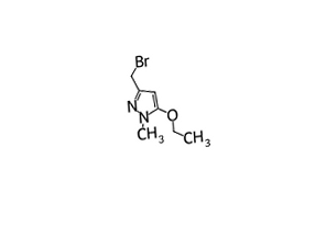 CCOc1cc(CBr)nn1C